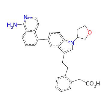 Nc1nccc2c(-c3ccc4c(c3)c(CCc3ccccc3CC(=O)O)cn4C3CCOC3)cccc12